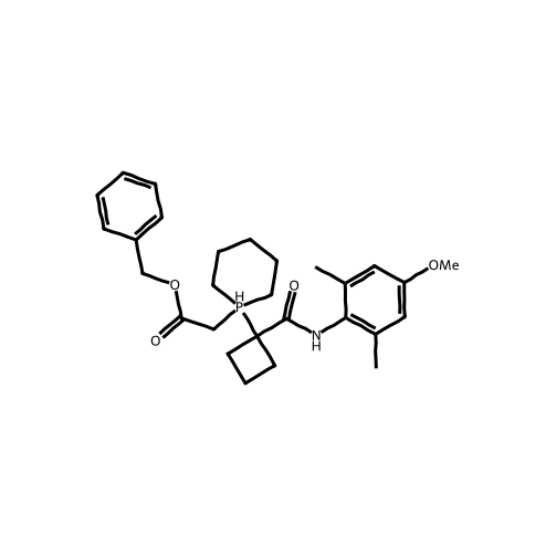 COc1cc(C)c(NC(=O)C2([PH]3(CC(=O)OCc4ccccc4)CCCCC3)CCC2)c(C)c1